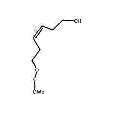 COCOCC/C=C\CCO